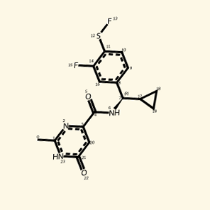 Cc1nc(C(=O)N[C@@H](c2ccc(SF)c(F)c2)C2CC2)cc(=O)[nH]1